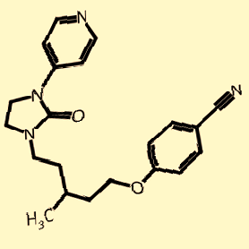 CC(CCOc1ccc(C#N)cc1)CCN1CCN(c2ccncc2)C1=O